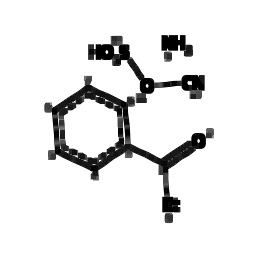 CCC(=O)c1ccccc1.N.N#COS(=O)(=O)O